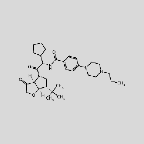 CCCN1CCN(c2ccc(C(=O)N[C@H](C(=O)N3C[C@H](C(C)(C)C)[C@H]4OCC(=O)[C@H]43)C3CCCC3)cc2)CC1